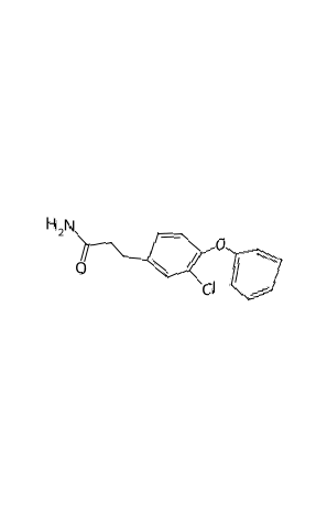 NC(=O)CCc1ccc(Oc2ccccc2)c(Cl)c1